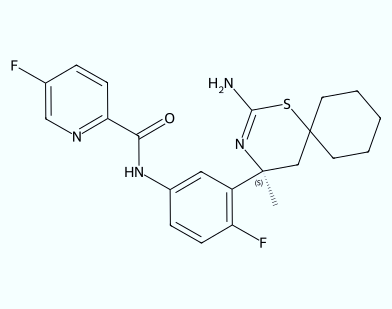 C[C@@]1(c2cc(NC(=O)c3ccc(F)cn3)ccc2F)CC2(CCCCC2)SC(N)=N1